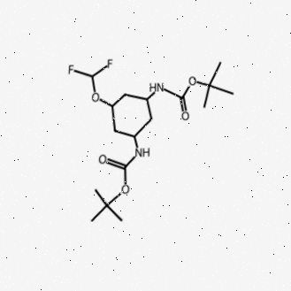 CC(C)(C)OC(=O)NC1CC(NC(=O)OC(C)(C)C)CC(OC(F)F)C1